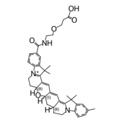 Cc1ccc2c(c1)C(C)(C)C1=C3C=C4C=C5C6=[N+](CC[C@H]5O[C@H]4C[C@H]3CCN12)c1ccc(C(=O)NCCOCCC(=O)O)cc1C6(C)C